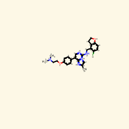 CN(C)CCOc1ccc(-c2cnc(NCc3c(F)ccc4c3CCO4)n3cc(C#N)nc23)cc1